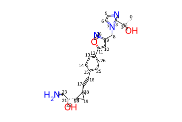 C[C@H](O)c1nccn1Cc1cc(-c2ccc(C#C[C@H]3C[C@@H]3C(O)CN)cc2)on1